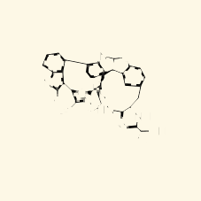 CC(C)[C@H](O)C(=O)N[C@H]1Cc2ccc3c(c2)[C@]24c5cccc(c5NC2O3)-c2cccc3[nH]c(Cl)c(c23)-c2oc(nc2Br)-c2nc(oc24)[C@H](C(C)C)NC1=O